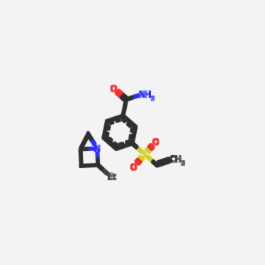 C=CS(=O)(=O)c1cccc(C(N)=O)c1.CCC1CC2CN12